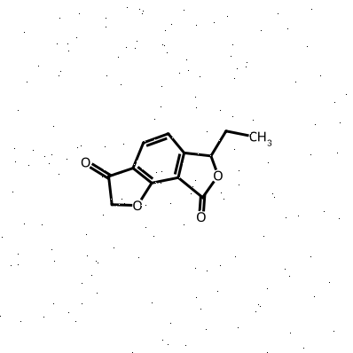 CCC1OC(=O)c2c1ccc1c2OCC1=O